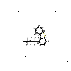 CC(C)(C)C(C)(C)C(C)(C)c1cccc2sc3ccccc3c12